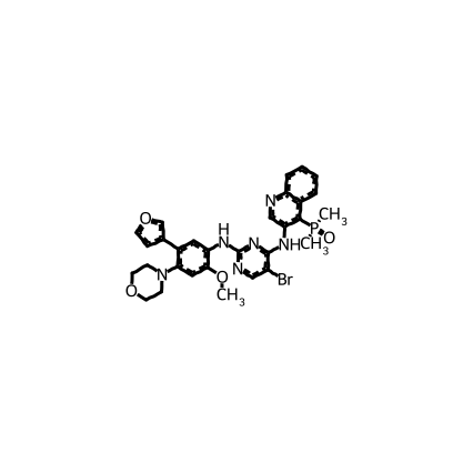 COc1cc(N2CCOCC2)c(-c2ccoc2)cc1Nc1ncc(Br)c(Nc2cnc3ccccc3c2P(C)(C)=O)n1